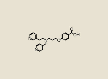 O=C(O)c1ccc(OCCCN(CCc2cccnc2)Cc2ccncc2)cc1